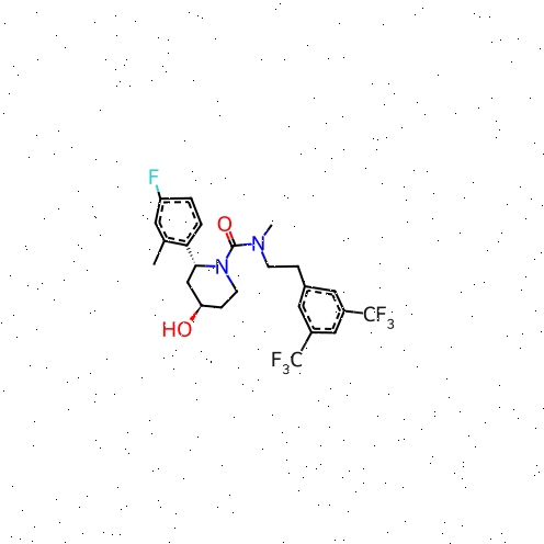 Cc1cc(F)ccc1[C@H]1C[C@H](O)CCN1C(=O)N(C)CCc1cc(C(F)(F)F)cc(C(F)(F)F)c1